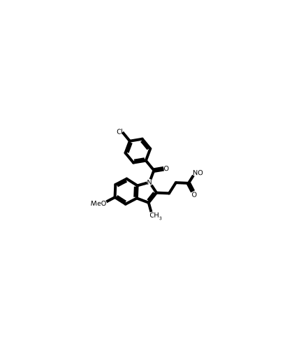 COc1ccc2c(c1)c(C)c(CCC(=O)N=O)n2C(=O)c1ccc(Cl)cc1